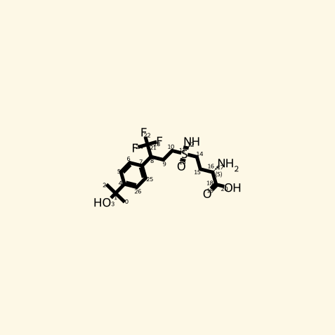 CC(C)(O)c1ccc(C(CCS(=N)(=O)CC[C@H](N)C(=O)O)C(F)(F)F)cc1